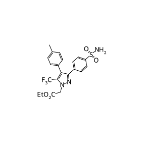 CCOC(=O)Cn1nc(-c2ccc(S(N)(=O)=O)cc2)c(-c2ccc(C)cc2)c1C(F)(F)F